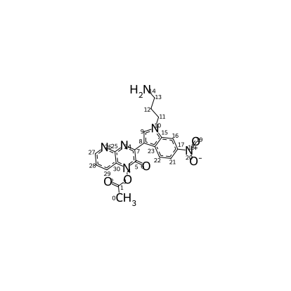 CC(=O)On1c(=O)c(-c2cn(CCCN)c3cc([N+](=O)[O-])ccc23)nc2ncccc21